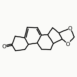 O=C1CCC2C(=CC=C3C2CCC2C3CC3OCOC32)C1